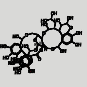 O=C1O[C@H]2C3OC(O)C(CC(O)O)C4c5c(cc(O)c(O)c5OC(O)C4O)C(O)OC2[C@@H](OC(O)c2cc(O)c(O)c(O)c2)OC3COC(O)c2cc(O)c(O)c(O)c2-c2c1cc(O)c(O)c2O